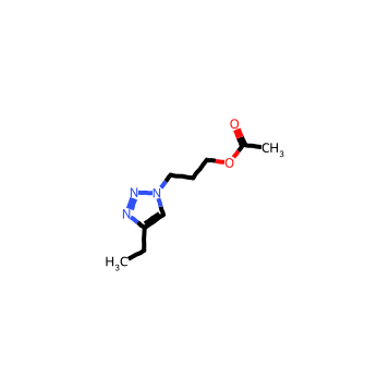 CCc1cn(CCCOC(C)=O)nn1